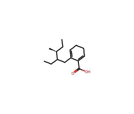 CCC(CC1=CCCC=C1C(=O)O)[C@@H](C)CC